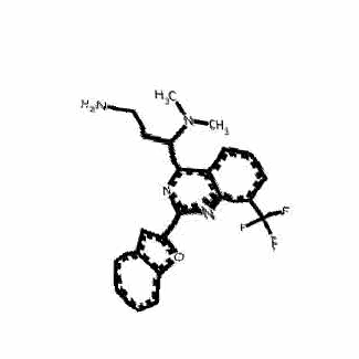 CN(C)C(CCN)c1nc(-c2cc3ccccc3o2)nc2c(C(F)(F)F)cccc12